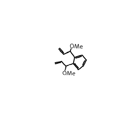 C=CC(OC)c1ccccc1C(C=C)OC